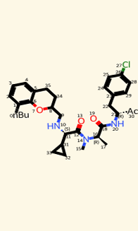 CCCCc1cccc2c1OC(CN[C@H](C(=O)N(C)[C@H](C)C(=O)N[C@H](Cc1ccc(Cl)cc1)C(C)=O)C1CC1)CC2